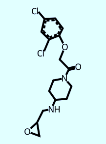 O=C(COc1ccc(Cl)cc1Cl)N1CCC(NCC2CO2)CC1